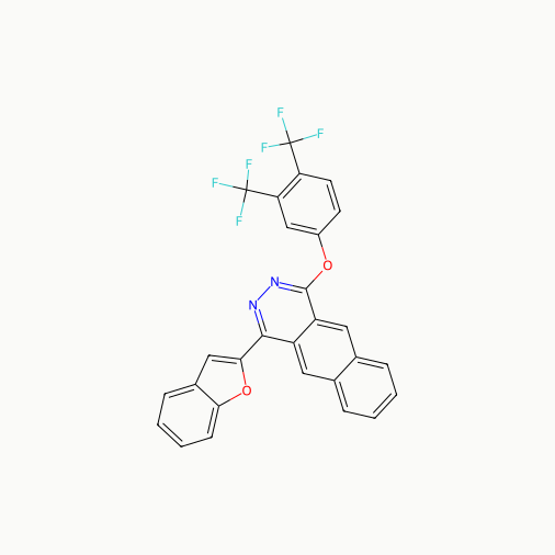 FC(F)(F)c1ccc(Oc2nnc(-c3cc4ccccc4o3)c3cc4ccccc4cc23)cc1C(F)(F)F